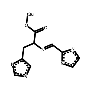 CC(C)(C)OC(=O)C(Cc1cscn1)N=Cc1nccs1